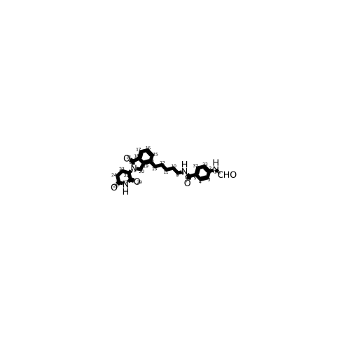 O=CNc1ccc(C(=O)NCCCCCc2cccc3c2CN(C2CCC(=O)NC2=O)C3=O)cc1